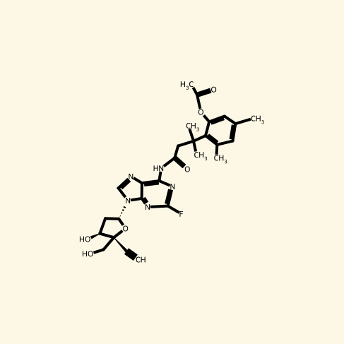 C#C[C@]1(CO)O[C@@H](n2cnc3c(NC(=O)CC(C)(C)c4c(C)cc(C)cc4OC(C)=O)nc(F)nc32)C[C@@H]1O